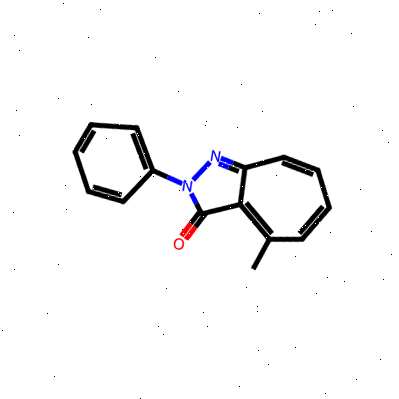 Cc1ccccc2nn(-c3ccccc3)c(=O)c1-2